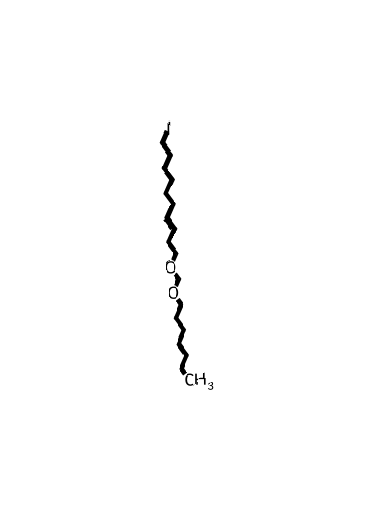 CCCCCCCOCOCCC=CCCCCCCI